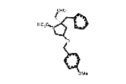 COc1ccc(CO[C@H]2CN(C(=O)O)[C@@](CC=O)(Cc3ccccc3)C2)cc1